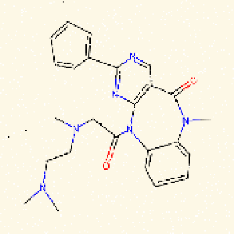 CN(C)CCN(C)CC(=O)N1c2ccccc2N(C)C(=O)c2cnc(-c3ccccc3)nc21